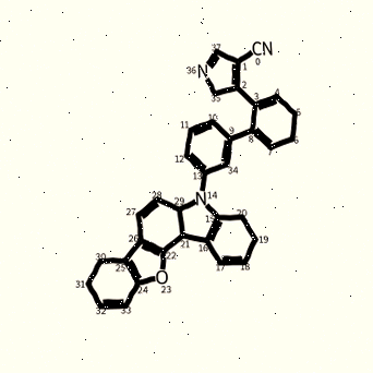 N#CC1=C(C2=CCCC=C2c2cccc(N3C4=C(C=CCC4)C4c5oc6c(c5C=CC43)CCC=C6)c2)CN=C1